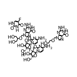 Nc1ccn([C@@H]2O[C@H](CO)[C@@H](O)C2(F)F)c(=O)n1.Nc1ccn([C@@H]2O[C@H](CO)[C@@H](O)[C@@H]2O)c(=O)n1.Nc1nc2c(ncn2COC(CO)CO)c(=O)[nH]1.Nc1nc2c(ncn2COCCO)c(=O)[nH]1.O=c1[nH]cc(F)c(=O)[nH]1